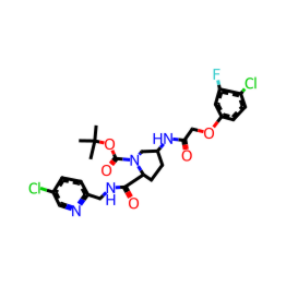 CC(C)(C)OC(=O)N1CC(NC(=O)COc2ccc(Cl)c(F)c2)CCC1C(=O)NCc1ccc(Cl)cn1